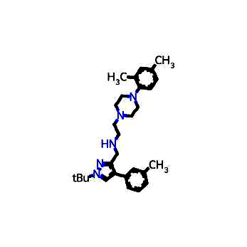 Cc1cccc(-c2cn(C(C)(C)C)nc2CNCCN2CCN(c3ccc(C)cc3C)CC2)c1